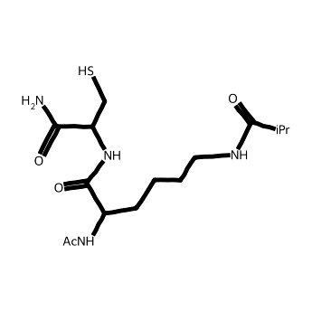 CC(=O)NC(CCCCNC(=O)C(C)C)C(=O)NC(CS)C(N)=O